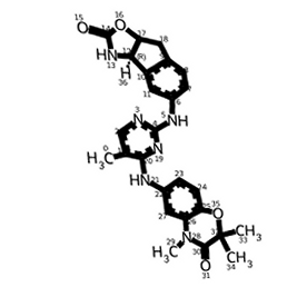 Cc1cnc(Nc2ccc3c(c2)[C@H]2NC(=O)OC2C3)nc1Nc1ccc2c(c1)N(C)C(=O)C(C)(C)O2